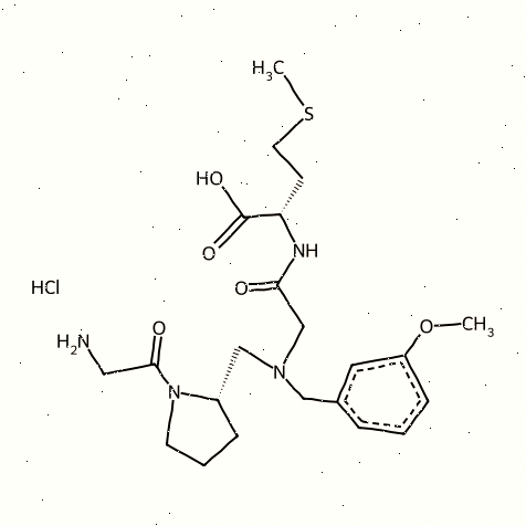 COc1cccc(CN(CC(=O)N[C@@H](CCSC)C(=O)O)C[C@@H]2CCCN2C(=O)CN)c1.Cl